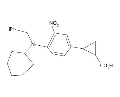 CC(C)CN(c1ccc(C2CC2C(=O)O)cc1[N+](=O)[O-])C1CCCCC1